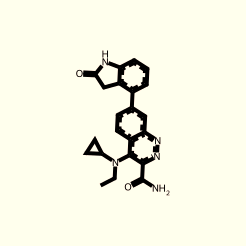 CCN(c1c(C(N)=O)nnc2cc(-c3cccc4c3CC(=O)N4)ccc12)C1CC1